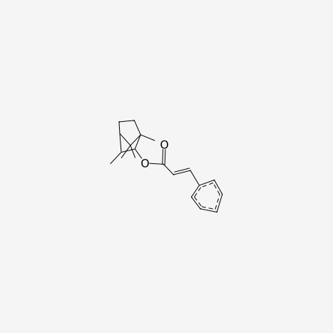 CC1C2CCC(C)(C1OC(=O)/C=C/c1ccccc1)C2(C)C